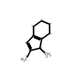 CC1=[C]C2=C(CCCC2)C1C